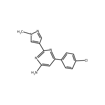 Cn1cc(-c2nc(N)cc(-c3ccc(Cl)cc3)n2)cn1